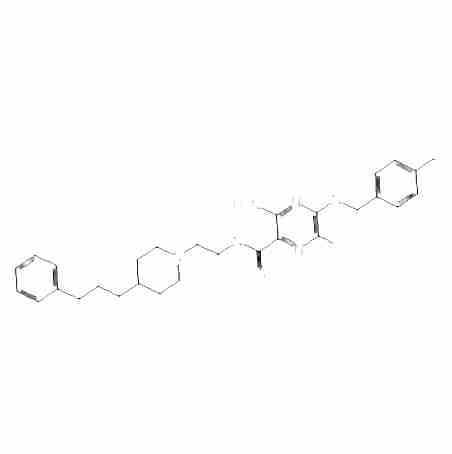 Nc1nc(NCc2ccc(I)cc2)c(Cl)nc1C(=O)NCCN1CCC(CCCc2ccccc2)CC1